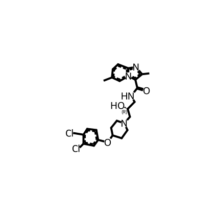 Cc1ccc2nc(C)c(C(=O)NC[C@@H](O)CN3CCC(Oc4ccc(Cl)c(Cl)c4)CC3)n2c1